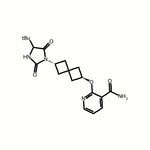 CC(C)(C)C1NC(=O)N([C@H]2CC3(C[C@H](Oc4ncccc4C(N)=O)C3)C2)C1=O